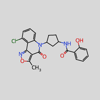 Cc1onc2c1c(=O)n(C1CCC(NC(=O)c3ccccc3O)C1)c1cccc(Cl)c21